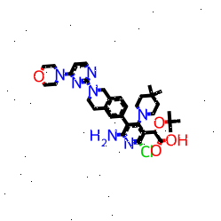 CC1(C)CCN(c2c(-c3ccc4c(c3)CCN(c3nccc(N5CCOCC5)n3)C4)c(N)nc(Cl)c2[C@H](OC(C)(C)C)C(=O)O)CC1